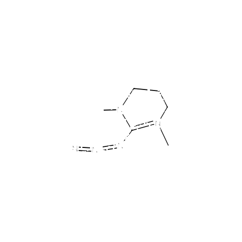 CN1CCC[N+](C)=C1N=[N+]=[N-]